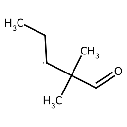 CC[CH]C(C)(C)C=O